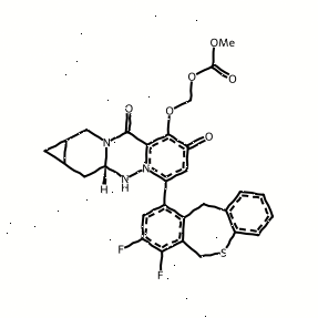 COC(=O)OCOc1c2n(c(-c3cc(F)c(F)c4c3Cc3ccccc3SC4)cc1=O)N[C@@H]1CC3CC3CN1C2=O